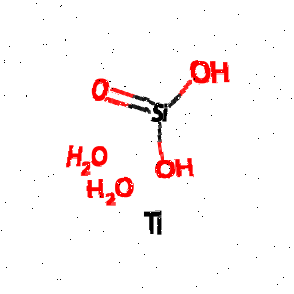 O.O.O=[Si](O)O.[Ti]